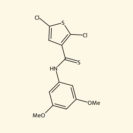 COc1cc(NC(=S)c2cc(Cl)sc2Cl)cc(OC)c1